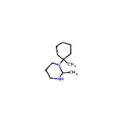 CC1NCCCN1C1(C)CCCCC1